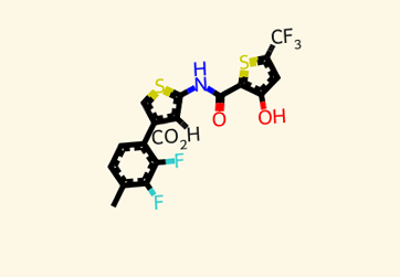 Cc1ccc(-c2csc(NC(=O)c3sc(C(F)(F)F)cc3O)c2C(=O)O)c(F)c1F